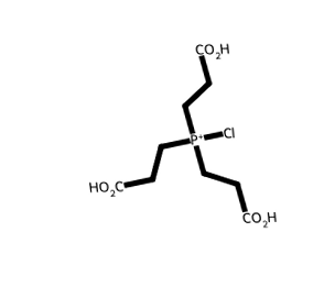 O=C(O)CC[P+](Cl)(CCC(=O)O)CCC(=O)O